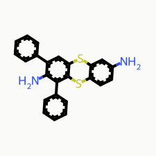 Nc1ccc2c(c1)Sc1cc(-c3ccccc3)c(N)c(-c3ccccc3)c1S2